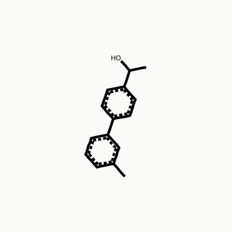 Cc1cccc(-c2ccc(C(C)O)cc2)c1